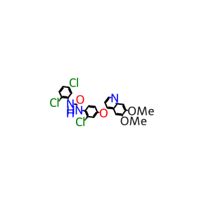 COc1cc2nccc(Oc3ccc(NC(=O)Nc4cc(Cl)ccc4Cl)c(Cl)c3)c2cc1OC